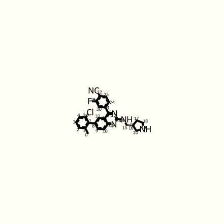 Cc1cccc(Cl)c1-c1ccc2nc(NC[C@H]3CCNC3)nc(-c3ccc(C#N)c(F)c3)c2c1